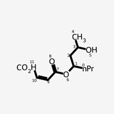 CCCC(CC(C)O)OC(=O)/C=C\C(=O)O